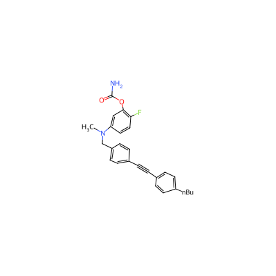 CCCCc1ccc(C#Cc2ccc(CN(C)c3ccc(F)c(OC(N)=O)c3)cc2)cc1